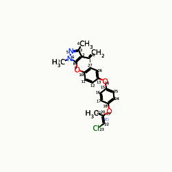 C=Cc1c(C)nn(C)c1Oc1ccc(Oc2ccc(O/C(C)=C/Cl)cc2)cc1